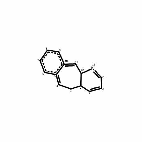 C1=CC2CC=c3ccccc3=CC2N=C1